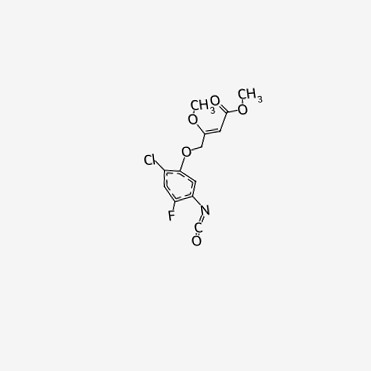 COC(=O)C=C(COc1cc(N=C=O)c(F)cc1Cl)OC